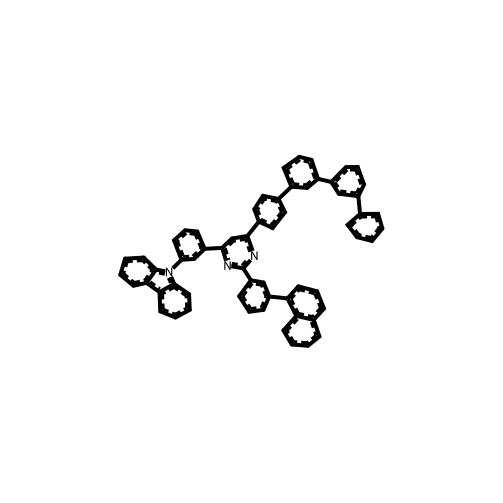 c1ccc(-c2cccc(-c3cccc(-c4ccc(-c5cc(-c6cccc(-n7c8ccccc8c8ccccc87)c6)nc(-c6cccc(-c7cccc8ccccc78)c6)n5)cc4)c3)c2)cc1